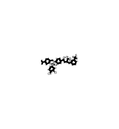 CC(C)c1ccc(CN(c2ccc(C(=O)CC(Cc3cccc(C(F)(F)F)c3)C(=O)O)cc2)S(=O)(=O)c2ccc(Cl)c(Cl)c2)cc1